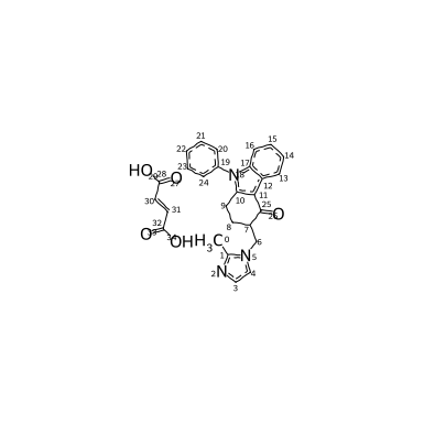 Cc1nccn1CC1CCc2c(c3ccccc3n2-c2ccccc2)C1=O.O=C(O)C=CC(=O)O